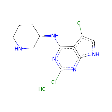 Cl.Clc1nc(N[C@@H]2CCCNC2)c2c(Cl)c[nH]c2n1